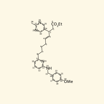 CCOC(=O)CC(C=CCCCCc1cccc(NCc2ccc(OC)cc2)n1)c1cnc(C)nc1